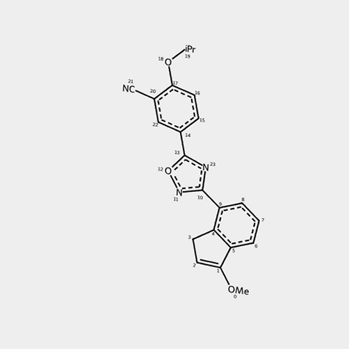 COC1=CCc2c1cccc2-c1noc(-c2ccc(OC(C)C)c(C#N)c2)n1